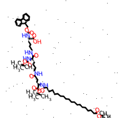 CC(C)(C)OC(=O)CCCCCCCCCCCCCCCCCCC(=O)N[C@@H](CCC(=O)NCCCC[C@H](NC(=O)OC(C)(C)C)C(=O)NCCCC[C@H](NC(=O)OCC1c2ccccc2-c2ccccc21)C(=O)O)C(=O)OC(C)(C)C